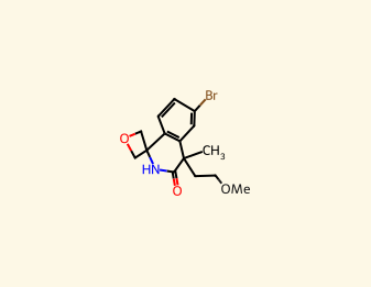 COCCC1(C)C(=O)NC2(COC2)c2ccc(Br)cc21